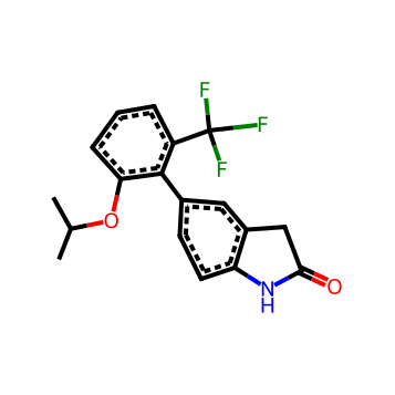 CC(C)Oc1cccc(C(F)(F)F)c1-c1ccc2c(c1)CC(=O)N2